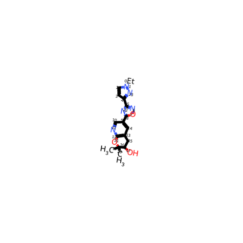 CCn1ccc(-c2noc(-c3cnc4c(c3)CC(O)C(C)(C)O4)n2)n1